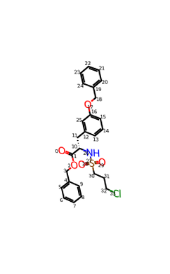 O=C(OCc1ccccc1)[C@H](Cc1cccc(OCc2ccccc2)c1)NS(=O)(=O)CCCCl